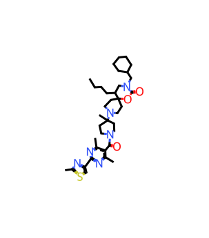 CCCCC1CN(CC2CCCCC2)C(=O)OC12CCN(C1(C)CCN(C(=O)c3c(C)nc(-c4csc(C)n4)nc3C)CC1)CC2